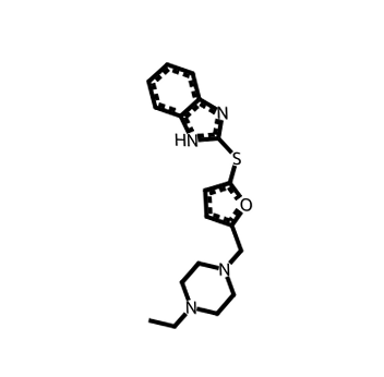 CCN1CCN(Cc2ccc(Sc3nc4ccccc4[nH]3)o2)CC1